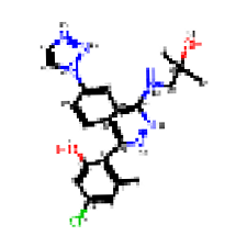 Cc1cc(Cl)cc(O)c1-c1nnc(NCC(C)(C)O)c2cc(-n3ccnn3)ccc12